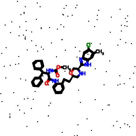 COC(=O)NC(C(=O)Nc1ccccc1CC[C@@H]1CN[C@H](c2nc3cc(Cl)c(C)cc3[nH]2)CO1)C(c1ccccc1)c1ccccc1